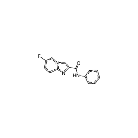 O=C(Nc1ccccc1)c1cn2cc(F)ccc2n1